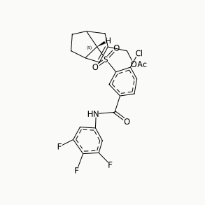 CC(=O)OCC1=CC2CCC(C1)[C@@H]2S(=O)(=O)c1cc(C(=O)Nc2cc(F)c(F)c(F)c2)ccc1Cl